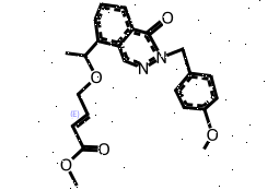 COC(=O)/C=C/COC(C)c1cccc2c(=O)n(Cc3ccc(OC)cc3)ncc12